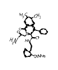 COc1ccccc1CNC(=O)c1c(-c2ccccc2)c2cc(C)c(C)cc2c(=O)n1CC(N)=O